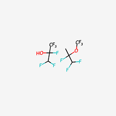 CC(F)(OC(F)(F)F)C(F)F.OC(F)(C(F)F)C(F)(F)F